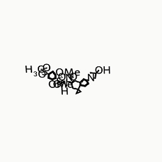 COc1cc(S(C)(=O)=O)cc(OC)c1S(=O)(=O)Nc1noc2c1CC1(CC1)c1ccc(N3CC(O)C3)cc1-2